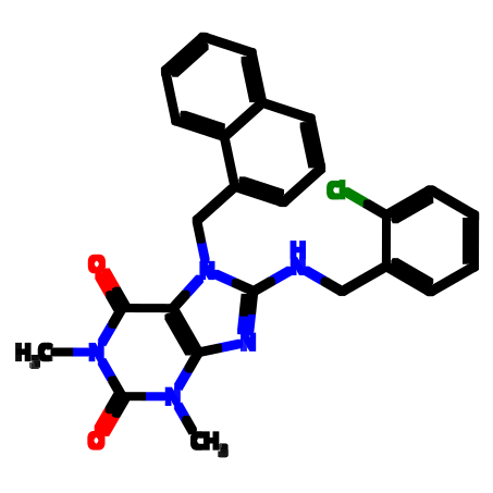 Cn1c(=O)c2c(nc(NCc3ccccc3Cl)n2Cc2cccc3ccccc23)n(C)c1=O